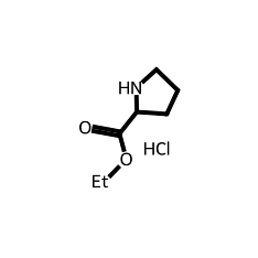 CCOC(=O)C1CCCN1.Cl